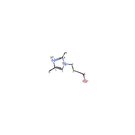 Cc1cn(CCCBr)c(C)n1